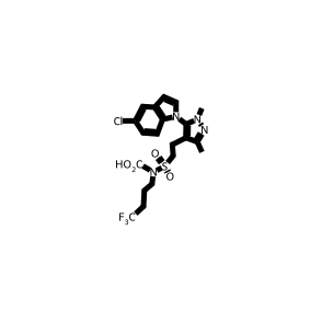 Cc1nn(C)c(-n2ccc3cc(Cl)ccc32)c1CCS(=O)(=O)N(CCCC(F)(F)F)C(=O)O